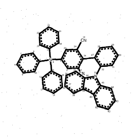 N#Cc1cc([Si](c2ccccc2)(c2ccccc2)c2ccccc2)cc(C#N)c1-c1ccccc1-n1c2ccccc2c2ccccc21